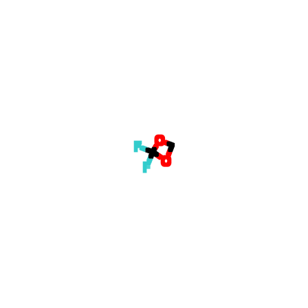 FC1(F)OCO1